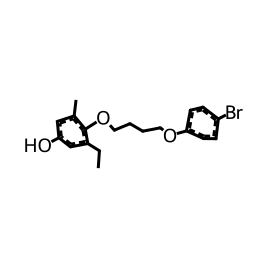 CCc1cc(O)cc(C)c1OCCCCOc1ccc(Br)cc1